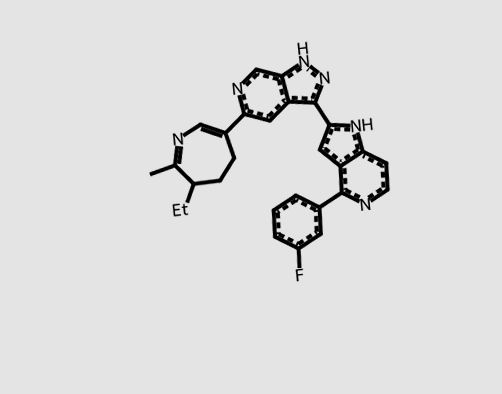 CCC1CCC(c2cc3c(-c4cc5c(-c6cccc(F)c6)nccc5[nH]4)n[nH]c3cn2)=CN=C1C